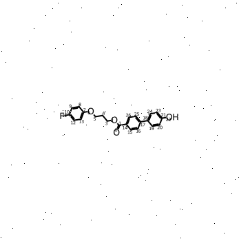 O=C(OCCCOc1ccc(F)cc1)c1ccc(-c2ccc(O)cc2)cc1